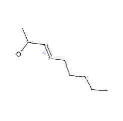 CCCCC/C=C/C(C)[O]